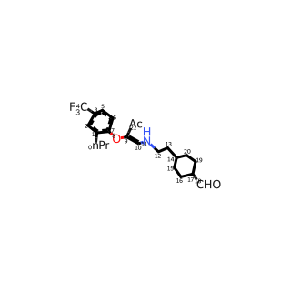 CCCc1cc(C(F)(F)F)ccc1O/C(=C/NCCC1CCC(C=O)CC1)C(C)=O